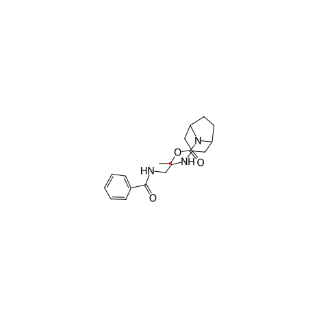 CCOC(=O)N1C2CCC1CC(NCCNC(=O)c1ccccc1)C2